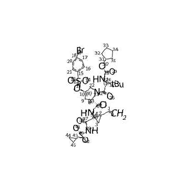 C=CC1C[C@]1(NC(=O)[C@@H]1C[C@@H](OS(=O)(=O)c2ccc(Br)cc2)CN1C(=O)[C@@H](NC(=O)OC1CCCC1)C(C)(C)C)C(=O)NS(=O)(=O)C1CC1